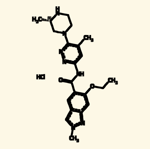 CCOc1cc2nn(C)cc2cc1C(=O)Nc1cc(C)c(N2CCN[C@@H](C)C2)nn1.Cl